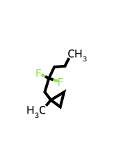 CCCC(F)(F)CC1(C)CC1